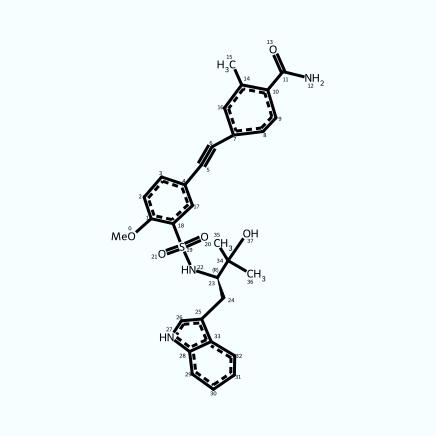 COc1ccc(C#Cc2ccc(C(N)=O)c(C)c2)cc1S(=O)(=O)N[C@H](Cc1c[nH]c2ccccc12)C(C)(C)O